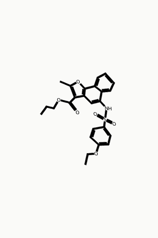 CCCOC(=O)c1c(C)oc2c1cc(NS(=O)(=O)c1ccc(OCC)cc1)c1ccccc12